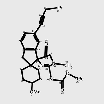 COC1CCC2(CC1)Cc1ccc(C#CCC(C)C)cc1C21N=C(NC(=O)OC(C)(C)C)N(C)CC1=O